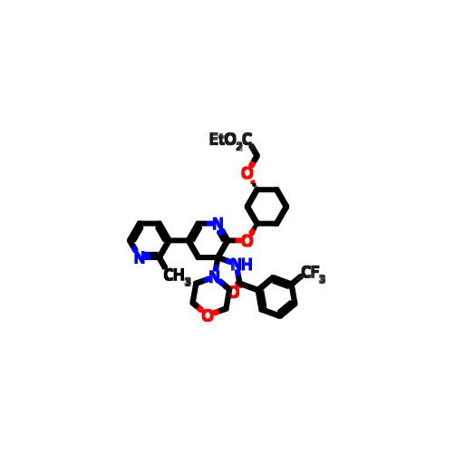 CCOC(=O)CO[C@@H]1CCC[C@@H](OC2=NC=C(c3cccnc3C)CC2(NC(=O)c2cccc(C(F)(F)F)c2)N2CCOCC2)C1